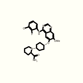 COc1cc2ncnc(Nc3cccc(Cl)c3F)c2cc1O[C@H]1CC[C@@H](N2CCCCC2C(N)=O)CC1